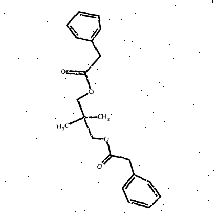 CC(C)(COC(=O)Cc1ccccc1)COC(=O)Cc1ccccc1